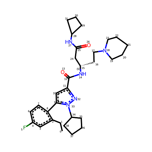 CCc1cc(F)ccc1-c1cc(C(=O)N[C@@H](CCN2CCCCC2)CC(=O)NC2CCC2)nn1C1CCCC1